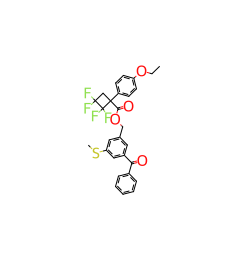 CCOc1ccc(C2(C(=O)OCc3cc(SC)cc(C(=O)c4ccccc4)c3)CC(F)(F)C2(F)F)cc1